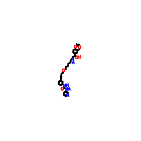 CC1(C)OCc2cc([C@@H](O)CNCCCCCCOCCC#Cc3cccc(NC(=O)Nc4cccnc4)c3)ccc2O1